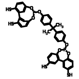 CC(C)(c1ccc(OP2Oc3ccc(S)c(c3)-c3cc(ccc3S)O2)cc1)c1ccc(Op2oc3ccc(S)cc3c3cc(S)ccc3o2)cc1